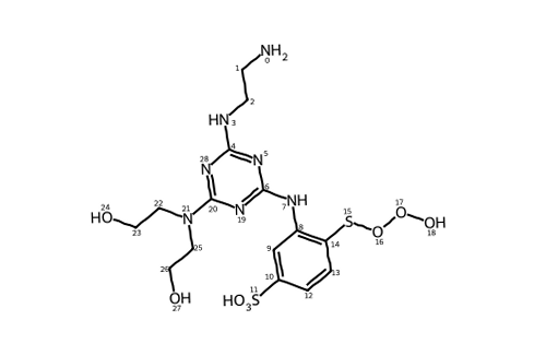 NCCNc1nc(Nc2cc(S(=O)(=O)O)ccc2SOOO)nc(N(CCO)CCO)n1